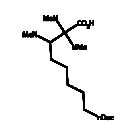 CCCCCCCCCCCCCCCC(NC)C(NC)(NC)C(=O)O